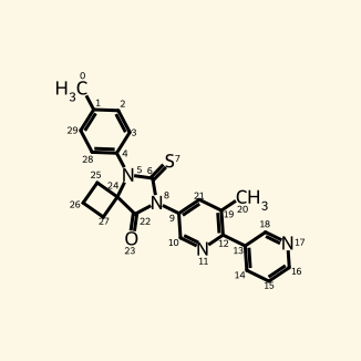 Cc1ccc(N2C(=S)N(c3cnc(-c4cccnc4)c(C)c3)C(=O)C23CCC3)cc1